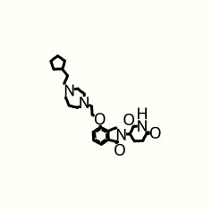 O=C1CCC(N2Cc3c(OCCN4CCCN(CCC5CCCC5)CC4)cccc3C2=O)C(=O)N1